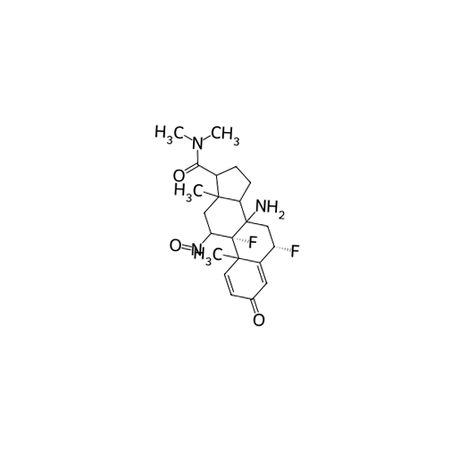 CN(C)C(=O)C1CCC2C1(C)CC(N=O)[C@]1(F)C3(C)C=CC(=O)C=C3[C@@H](F)CC21N